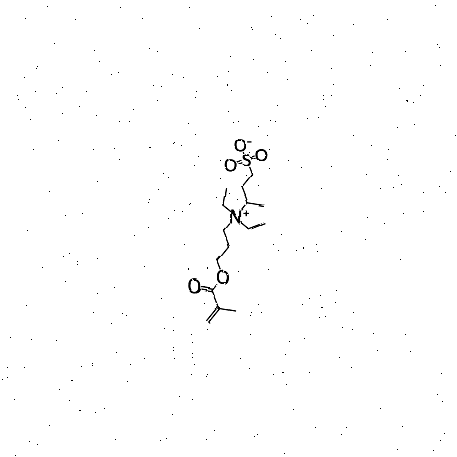 C=C(C)C(=O)OCCC[N+](CC)(CC)C(C)CCS(=O)(=O)[O-]